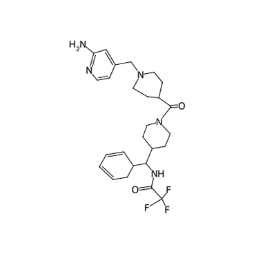 Nc1cc(CN2CCC(C(=O)N3CCC(C(NC(=O)C(F)(F)F)C4C=CC=CC4)CC3)CC2)ccn1